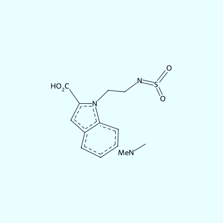 CNC.O=C(O)c1cc2ccccc2n1CCN=S(=O)=O